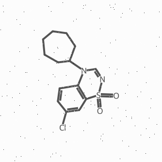 O=S1(=O)N=CN(C2CCCCCC2)c2ccc(Cl)cc21